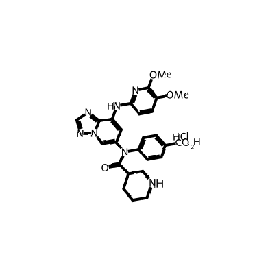 COc1ccc(Nc2cc(N(C(=O)C3CCCNC3)c3ccc(C(=O)O)cc3)cn3ncnc23)nc1OC.Cl